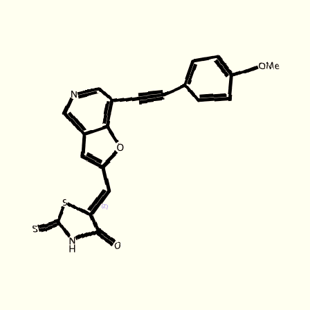 COc1ccc(C#Cc2cncc3cc(/C=C4\SC(=S)NC4=O)oc23)cc1